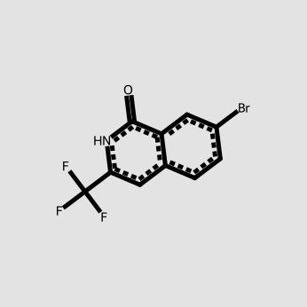 O=c1[nH]c(C(F)(F)F)cc2ccc(Br)cc12